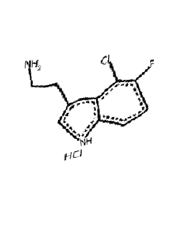 Cl.NCCc1c[nH]c2ccc(F)c(Cl)c12